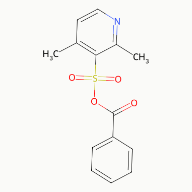 Cc1ccnc(C)c1S(=O)(=O)OC(=O)c1ccccc1